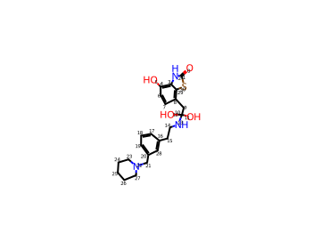 O=c1[nH]c2c(O)ccc(CC(O)(O)NCCc3cccc(CN4CCCCC4)c3)c2s1